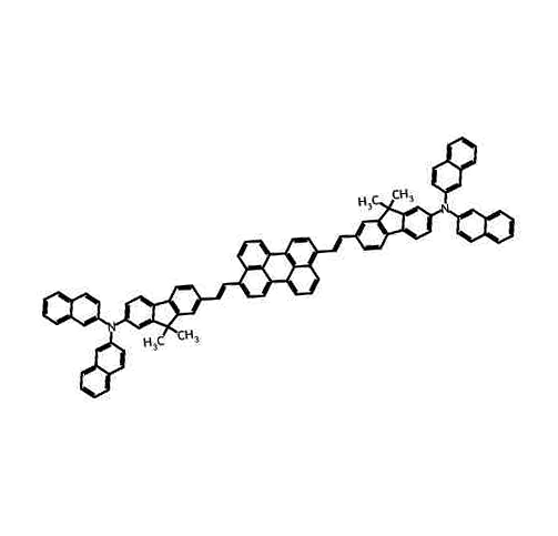 CC1(C)c2cc(/C=C/c3ccc4c5cccc6c(/C=C/c7ccc8c(c7)C(C)(C)c7cc(N(c9ccc%10ccccc%10c9)c9ccc%10ccccc%10c9)ccc7-8)ccc(c7cccc3c74)c65)ccc2-c2ccc(N(c3ccc4ccccc4c3)c3ccc4ccccc4c3)cc21